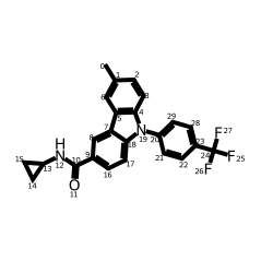 Cc1ccc2c(c1)c1cc(C(=O)NC3CC3)ccc1n2-c1ccc(C(F)(F)F)cc1